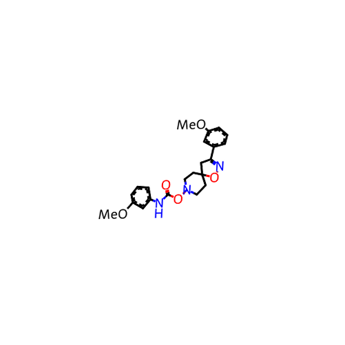 COc1cccc(NC(=O)ON2CCC3(CC2)CC(c2cccc(OC)c2)=NO3)c1